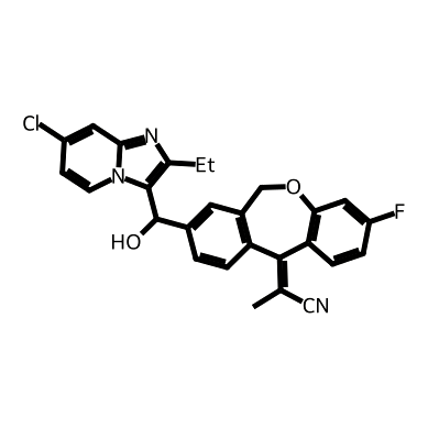 CCc1nc2cc(Cl)ccn2c1C(O)c1ccc2c(c1)COc1cc(F)ccc1/C2=C(/C)C#N